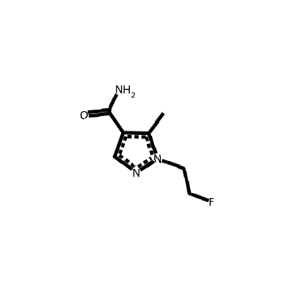 Cc1c(C(N)=O)cnn1CCF